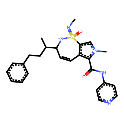 CN=S1(=O)NC(C(C)CCc2ccccc2)C=Cc2c1cn(C)c2C(=O)Nc1ccncc1